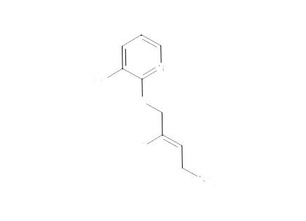 Cc1cccnc1SC/C(F)=C/CN